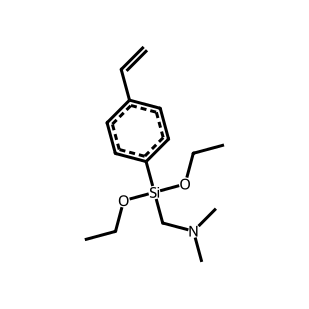 C=Cc1ccc([Si](CN(C)C)(OCC)OCC)cc1